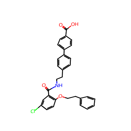 O=C(O)c1ccc(-c2ccc(CCNC(=O)c3cc(Cl)ccc3OCCc3ccccc3)cc2)cc1